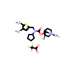 Cc1cc(CN(C(=O)O[C@H]2C[N+]3(C)CCC2CC3)C2CCCC2)sc1C.O=C([O-])C(F)(F)F